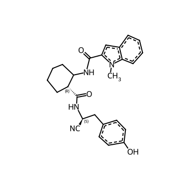 Cn1c(C(=O)NC2CCCC[C@H]2C(=O)N[C@H](C#N)Cc2ccc(O)cc2)cc2ccccc21